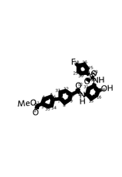 COC(=O)c1ccc(-c2ccc(C(=O)Nc3ccc(O)c(NS(=O)(=O)c4ccc(F)cc4)c3)cc2)cc1